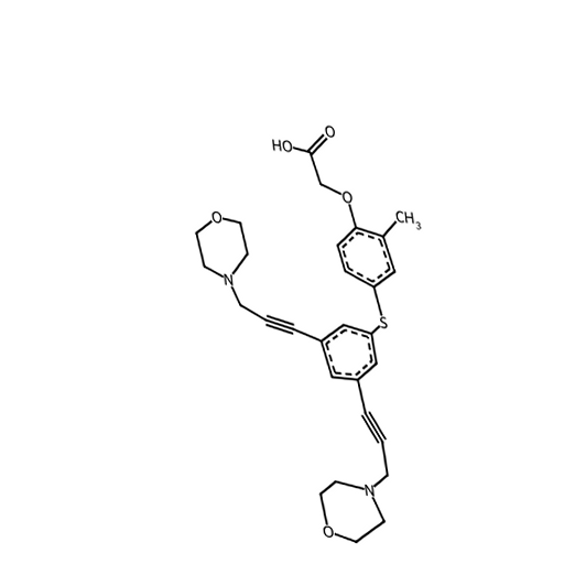 Cc1cc(Sc2cc(C#CCN3CCOCC3)cc(C#CCN3CCOCC3)c2)ccc1OCC(=O)O